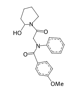 COc1ccc(C(=O)N(CC(=O)N2CCCCC2O)c2ccccc2)cc1